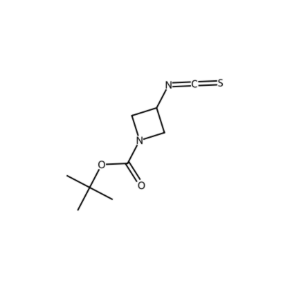 CC(C)(C)OC(=O)N1CC(N=C=S)C1